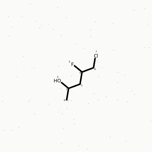 [CH2]C(O)CC(F)CCl